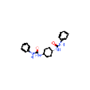 O=C(Nc1ccccc1)N[C@H]1CC[C@H](NC(=O)Nc2ccccc2)CC1